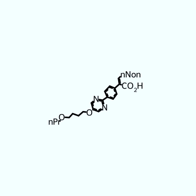 CCCCCCCCCC=C(C(=O)O)c1ccc(-c2ncc(OCCCCOCCC)cn2)cc1